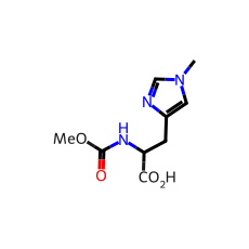 COC(=O)NC(Cc1cn(C)cn1)C(=O)O